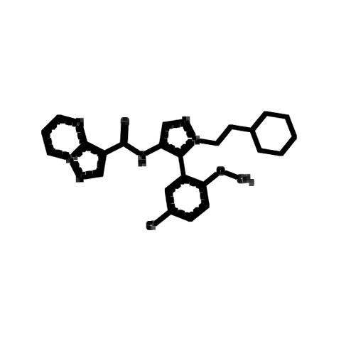 COc1ccc(Cl)cc1-c1c(NC(=O)c2cnn3cccnc23)cnn1CCC1CCCCC1